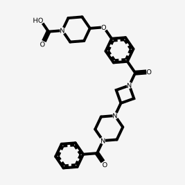 O=C(O)N1CCC(Oc2ccc(C(=O)N3CC(N4CCN(C(=O)c5ccccc5)CC4)C3)cc2)CC1